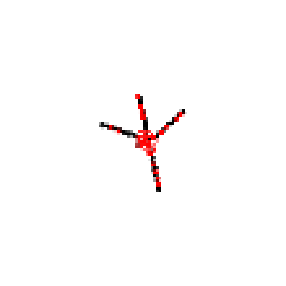 CCCCCCCCCCCCCCCCOC[C@H]1O[C@H](Br)[C@H](OCCCCCCCCCCCCCCCC)[C@@H](OCCCCCCCCCCCCCCCC)[C@@H]1OCCCCCCCCCCCCCCCC